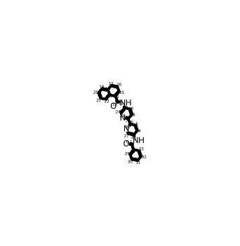 O=C(Nc1ccc(-c2ccc(NC(=O)c3cccc4ccccc34)cn2)nc1)c1ccccc1